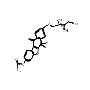 CC1(C)c2cc(OC[C@@H](O)[C@H](O)CO)ccc2C(=O)c2c1oc1cc(OC(N)=O)ccc21